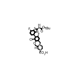 CC(C)(C)OC(=O)Nc1nc2c(-c3c(F)cc4c(c3Cl)OC[C@@H]3CN(C(=O)O)CCN3C4)ccc(F)c2s1